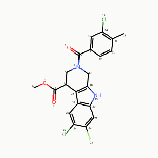 COC(=O)C1CN(C(=O)c2ccc(C)c(Cl)c2)Cc2[nH]c3cc(F)c(Cl)cc3c21